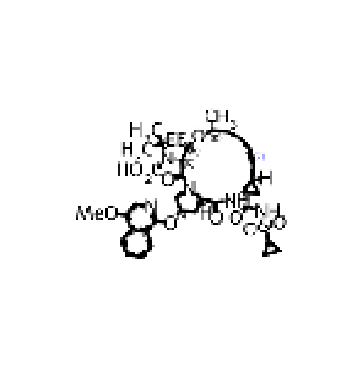 CC[C@@H]1O[C@H](C)CC/C=C\[C@@H]2C[C@@]2(C(=O)NS(=O)(=O)C2CC2)NC(=O)[C@@H]2C[C@@H](Oc3ncc(OC)c4ccccc34)CN2C(=O)[C@H]1N(C(=O)O)C(C)(C)C(F)(F)F